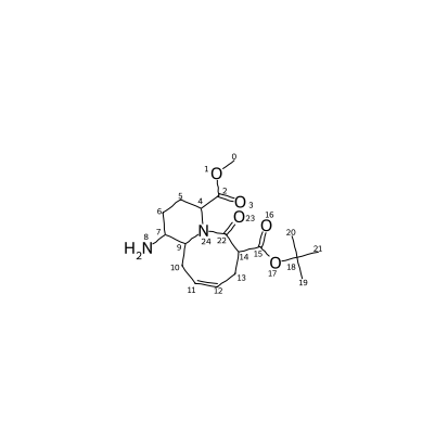 COC(=O)C1CCC(N)C2CC=CCC(C(=O)OC(C)(C)C)C(=O)N12